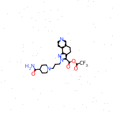 NC(=O)C1CCN(CCCn2nc3c(c2C(=O)OC(=O)C(F)(F)F)CCc2cnccc2-3)CC1